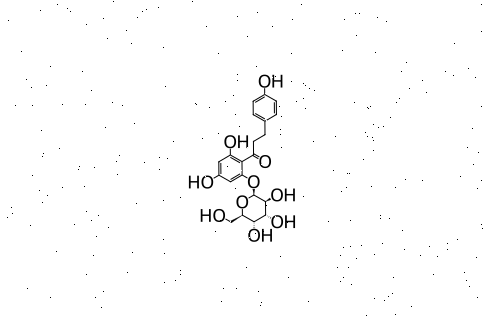 O=C(CCc1ccc(O)cc1)c1c(O)cc(O)cc1O[C@@H]1O[C@H](CO)[C@@H](O)[C@@H](O)[C@@H]1O